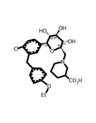 CCOc1ccc(Cc2cc([C@@H]3O[C@H](CN4CCCC(C(=O)O)C4)[C@@H](O)[C@H](O)[C@H]3O)ccc2Cl)cc1